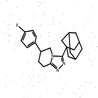 Fc1ccc(C2CCc3nnc(C45CC6CC(CC(C6)C4)C5)n3C2)cc1